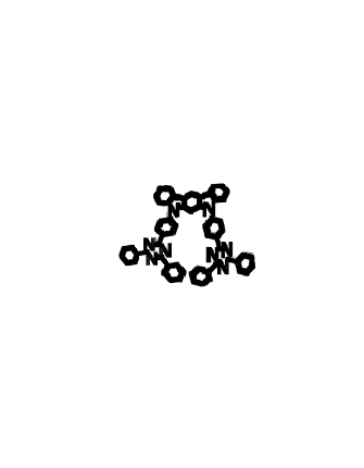 c1ccc(-c2nc(-c3ccccc3)nc(-c3ccc(-n4c5ccccc5c5cc6c7ccccc7n(-c7ccc(-c8nc(-c9ccccc9)nc(-c9ccccc9)n8)cc7)c6cc54)cc3)n2)cc1